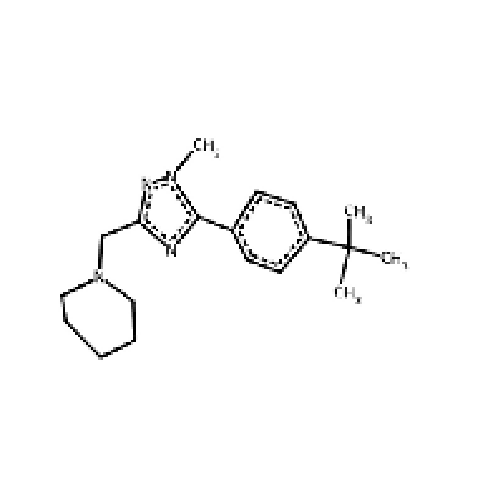 Cn1nc(CN2CCCCC2)nc1-c1ccc(C(C)(C)C)cc1